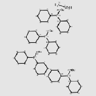 CCCCP(C1CCCCC1)C1CCCCC1.CCCCP(C1CCCCC1)C1CCCCC1.CCCCP(C1CCCCC1)C1CCCCC1.CCCCP(C1CCCCC1)C1CCCCC1.CS(=O)(=O)O